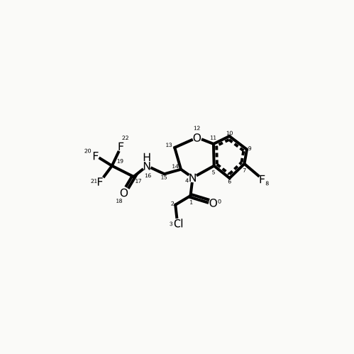 O=C(CCl)N1c2cc(F)ccc2OCC1CNC(=O)C(F)(F)F